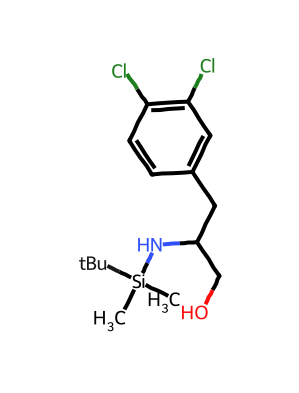 CC(C)(C)[Si](C)(C)NC(CO)Cc1ccc(Cl)c(Cl)c1